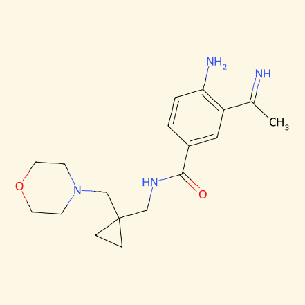 CC(=N)c1cc(C(=O)NCC2(CN3CCOCC3)CC2)ccc1N